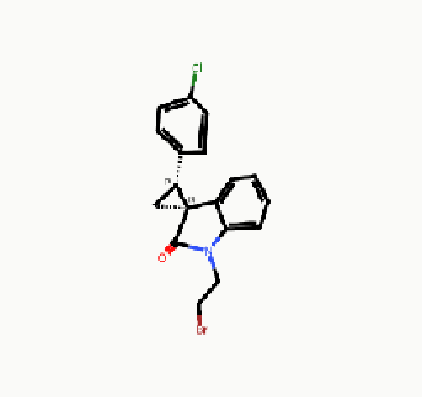 O=C1N(CCBr)c2ccccc2[C@@]12C[C@@H]2c1ccc(Cl)cc1